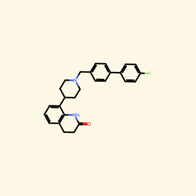 O=C1CCc2cccc(C3CCN(Cc4ccc(-c5ccc(F)cc5)cc4)CC3)c2N1